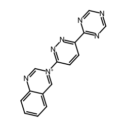 c1ccc2nc[n+](-c3ccc(-c4ncncn4)nn3)cc2c1